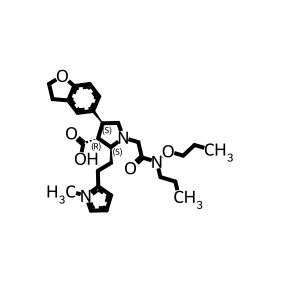 CCCON(CCC)C(=O)CN1C[C@H](c2ccc3c(c2)CCO3)[C@@H](C(=O)O)[C@@H]1CCc1cccn1C